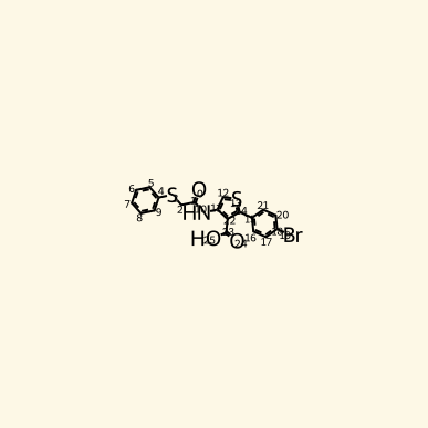 O=C(CSc1ccccc1)Nc1csc(-c2ccc(Br)cc2)c1C(=O)O